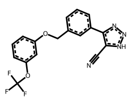 N#Cc1[nH]nnc1-c1cccc(COc2cccc(OC(F)(F)F)c2)c1